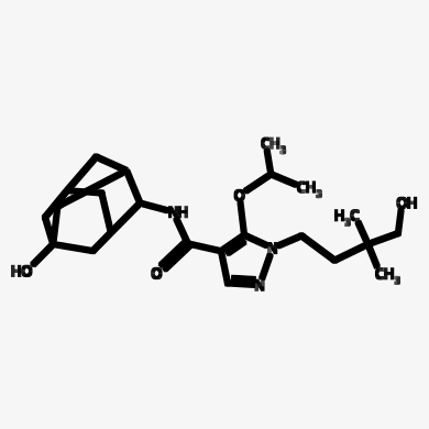 CC(C)Oc1c(C(=O)NC2C3CC4CC2CC(O)(C4)C3)cnn1CCC(C)(C)CO